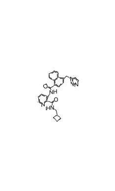 O=C(NCC1CCC1)c1n[c]ccc1NC(=O)c1ccc(Cn2ccnn2)c2ccccc12